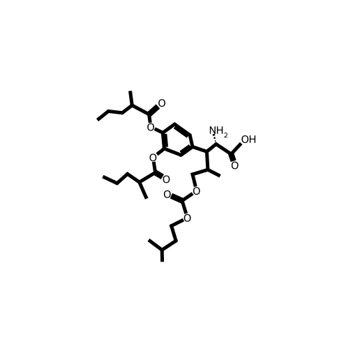 CCCC(C)C(=O)Oc1ccc(C(C(C)COC(=O)OCCC(C)C)[C@H](N)C(=O)O)cc1OC(=O)C(C)CCC